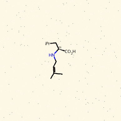 CC(C)=CCN[C@@H](CC(C)C)C(=O)O